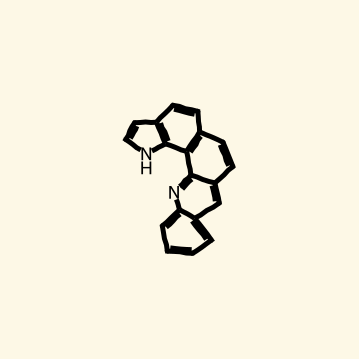 c1ccc2nc3c(ccc4ccc5cc[nH]c5c43)cc2c1